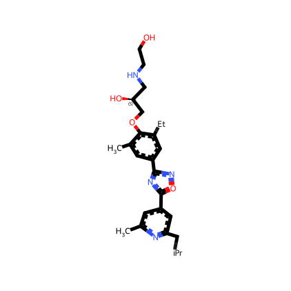 CCc1cc(-c2noc(-c3cc(C)nc(CC(C)C)c3)n2)cc(C)c1OC[C@@H](O)CNCCO